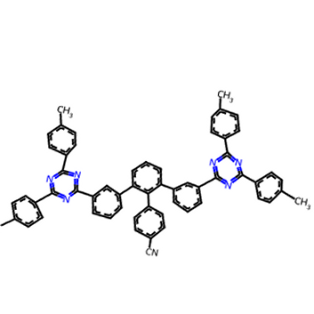 Cc1ccc(-c2nc(-c3ccc(C)cc3)nc(-c3cccc(-c4cccc(-c5cccc(-c6nc(-c7ccc(C)cc7)nc(-c7ccc(C)cc7)n6)c5)c4-c4ccc(C#N)cc4)c3)n2)cc1